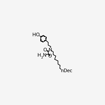 CCCCCCCCCCCCCCCCCCN(CCCc1ccc(O)cc1)C(=O)C(N)=O